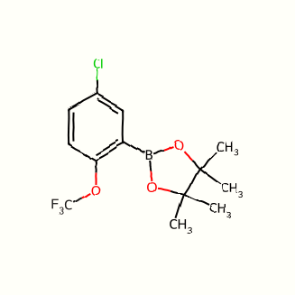 CC1(C)OB(c2cc(Cl)ccc2OC(F)(F)F)OC1(C)C